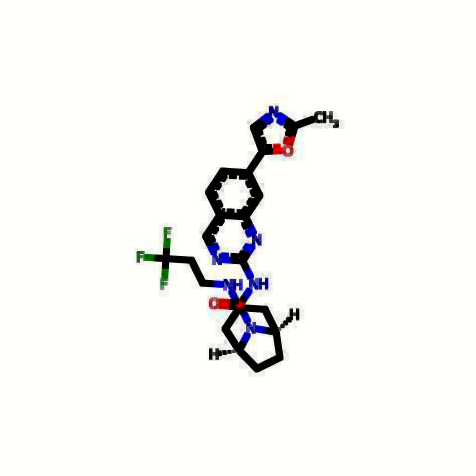 Cc1ncc(-c2ccc3cnc(NC(=O)N4[C@@H]5CC[C@H]4CC(NCCC(F)(F)F)C5)nc3c2)o1